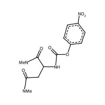 CNC(=O)CC(NC(=O)Oc1ccc([N+](=O)[O-])cc1)C(=O)NC